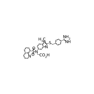 Cn1c(SCc2ccc(C(=N)N)cc2)nc2cc(N(CC(=O)O)S(=O)(=O)c3cccc4cccnc34)ccc21